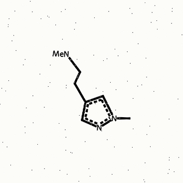 CNCCc1cnn(C)c1